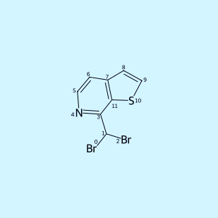 BrC(Br)c1nccc2ccsc12